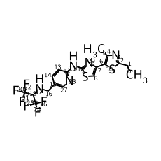 CCc1nc(C)c(-c2csc(Nc3ccc(CNC(C(F)(F)F)C(F)(F)F)cn3)n2)s1